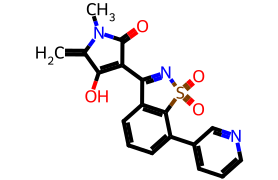 C=C1C(O)=C(C2=NS(=O)(=O)c3c2cccc3-c2cccnc2)C(=O)N1C